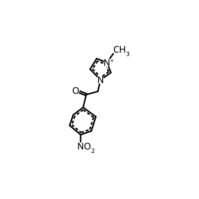 C[n+]1ccn(CC(=O)c2ccc([N+](=O)[O-])cc2)c1